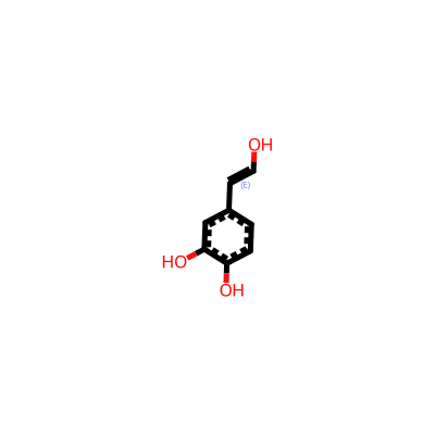 O/C=C/c1ccc(O)c(O)c1